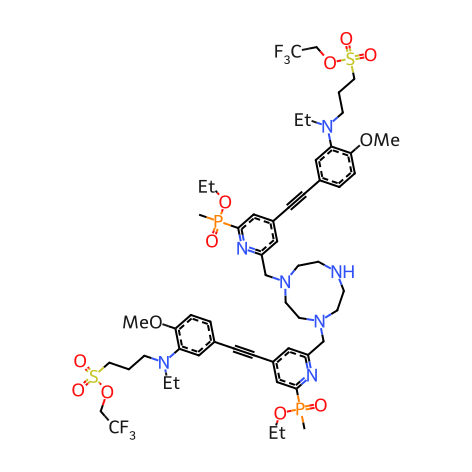 CCOP(C)(=O)c1cc(C#Cc2ccc(OC)c(N(CC)CCCS(=O)(=O)OCC(F)(F)F)c2)cc(CN2CCNCCN(Cc3cc(C#Cc4ccc(OC)c(N(CC)CCCS(=O)(=O)OCC(F)(F)F)c4)cc(P(C)(=O)OCC)n3)CC2)n1